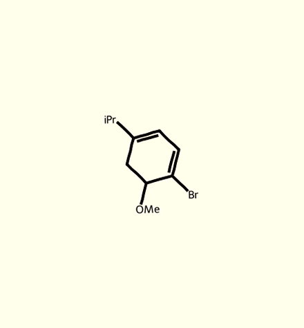 COC1CC(C(C)C)=CC=C1Br